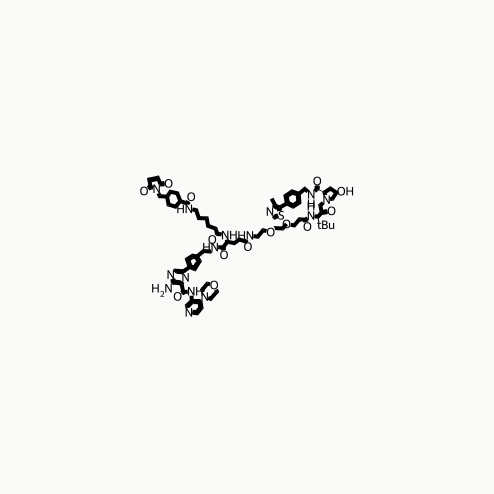 Cc1ncsc1-c1ccc(CNC(=O)[C@@H]2C[C@@H](O)CN2CC(=O)[C@@H](NC(=O)CCOCCOCCNC(=O)CCC(NC(=O)CCCCCNC(=O)C2CCC(CN3C(=O)C=CC3=O)CC2)C(=O)NCCc2ccc(-c3cnc(N)c(C(=O)Nc4cnccc4N4CCOCC4)n3)cc2)C(C)(C)C)cc1